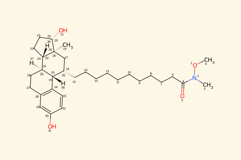 CON(C)C(=O)CCCCCCCCCC[C@H]1C[C@]2(C)[C@@H](O)CC[C@H]2[C@@H]2CCc3cc(O)ccc3[C@@H]12